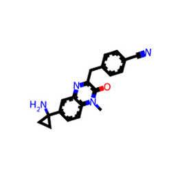 Cn1c(=O)c(Cc2ccc(C#N)cc2)nc2cc(C3(N)CC3)ccc21